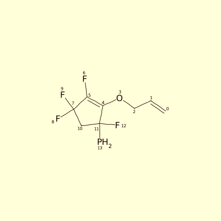 C=CCOC1=C(F)C(F)(F)CC1(F)P